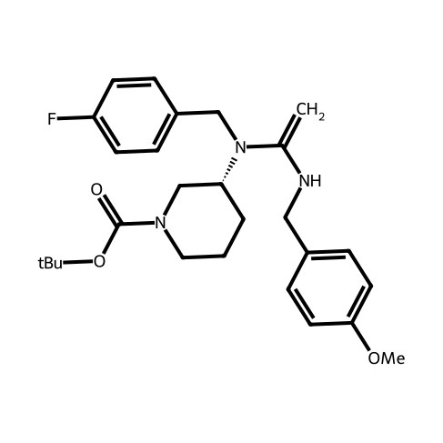 C=C(NCc1ccc(OC)cc1)N(Cc1ccc(F)cc1)[C@@H]1CCCN(C(=O)OC(C)(C)C)C1